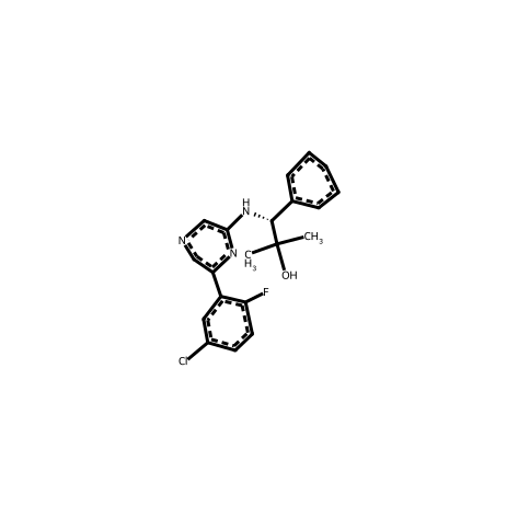 CC(C)(O)[C@H](Nc1cncc(-c2cc(Cl)ccc2F)n1)c1ccccc1